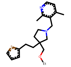 CCOCC1(CCc2cccs2)CCN(Cc2c(C)ccnc2C)C1